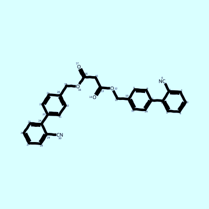 N#Cc1ccccc1-c1ccc(COC(=O)CC(=O)OCc2ccc(-c3ccccc3C#N)cc2)cc1